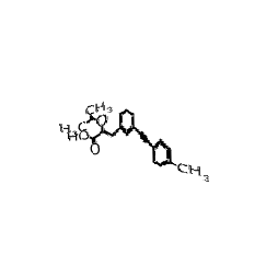 Cc1ccc(C#Cc2cccc(CC(OC(C)C)C(=O)O)c2)cc1